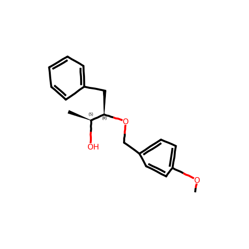 COc1ccc(CO[C@H](Cc2ccccc2)[C@H](C)O)cc1